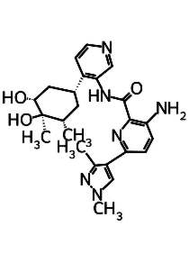 Cc1nn(C)cc1-c1ccc(N)c(C(=O)Nc2cnccc2[C@H]2C[C@@H](O)[C@](C)(O)[C@@H](C)C2)n1